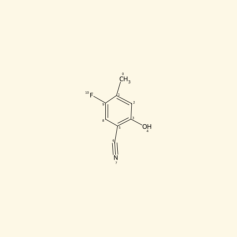 Cc1cc(O)c(C#N)cc1F